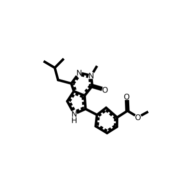 COC(=O)c1cccc(-c2[nH]cc3c(CC(C)C)nn(C)c(=O)c23)c1